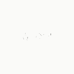 Cn1ccnc1CCc1ccc(C(=O)O)cc1